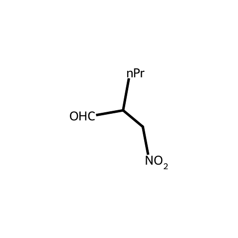 CCCC(C=O)C[N+](=O)[O-]